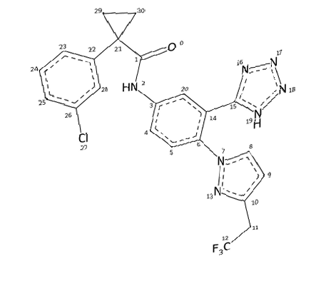 O=C(Nc1ccc(-n2ccc(CC(F)(F)F)n2)c(-c2nnn[nH]2)c1)C1(c2cccc(Cl)c2)CC1